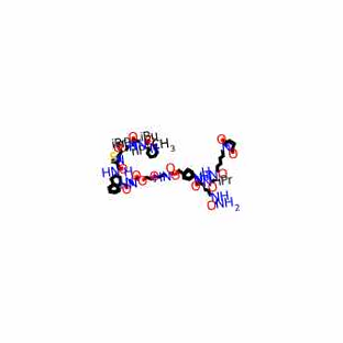 CCCO[C@H](C[C@H](C(C)C)N(CCC)C(=O)[C@@H](NC(=O)[C@H]1CCCCN1C)[C@@H](C)CC)c1nc(C(=O)N[C@H]2Cc3ccccc3[C@H](C(=O)NNC(=O)OCCOCCNC(=O)OCc3ccc(NC(=O)[C@H](CCCNC(N)=O)NC(=O)[C@@H](NC(=O)CCCCCN4C(=O)C=CC4=O)C(C)C)cc3)C2)cs1